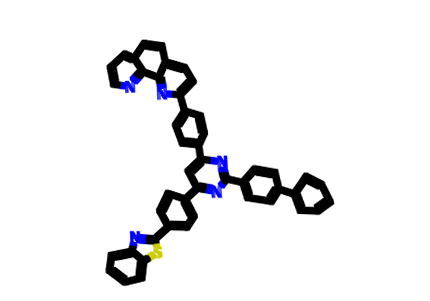 c1ccc(-c2ccc(-c3nc(-c4ccc(-c5ccc6ccc7cccnc7c6n5)cc4)cc(-c4ccc(-c5nc6ccccc6s5)cc4)n3)cc2)cc1